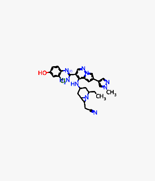 CCC1CC(Nc2c(/C(N)=N/c3ccc(O)cc3Cl)cnn3cc(-c4cnn(C)c4)cc23)CC2C(CC#N)N12